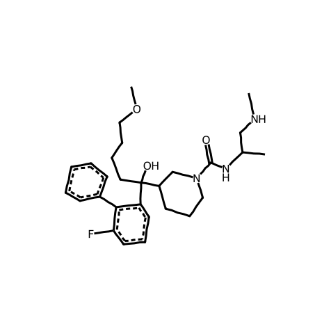 CNCC(C)NC(=O)N1CCCC(C(O)(CCCCOC)c2cccc(F)c2-c2ccccc2)C1